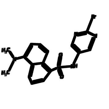 CN(C)c1cccc2c(S(=O)(=O)Nc3cnc(Br)nc3)cccc12